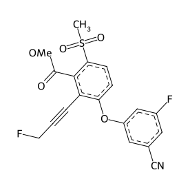 COC(=O)c1c(S(C)(=O)=O)ccc(Oc2cc(F)cc(C#N)c2)c1C#CCF